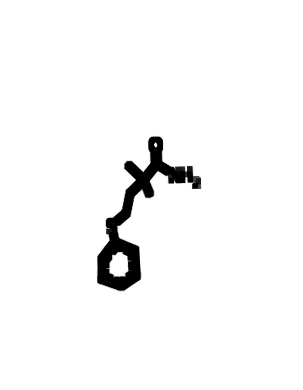 CC(C)(CCSc1ccccc1)C(N)=O